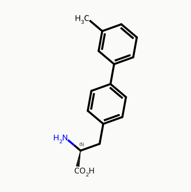 Cc1cccc(-c2ccc(C[C@H](N)C(=O)O)cc2)c1